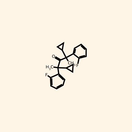 CC(C(=O)C(C)(c1ccccc1F)C1CC1)(c1ccccc1F)C1CC1